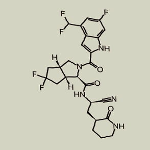 N#C[C@@H](C[C@@H]1CCCNC1=O)NC(=O)[C@H]1[C@@H]2CC(F)(F)C[C@@H]2CN1C(=O)c1cc2c(C(F)F)cc(F)cc2[nH]1